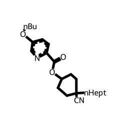 CCCCCCCC1(C#N)CCC(OC(=O)c2ccc(OCCCC)cn2)CC1